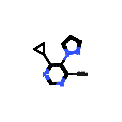 COc1ncnc(C2CC2)c1-n1cccn1